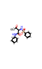 CC(C)(C)C(=O)C(NS(=O)(=O)c1ccccc1)C(=O)Nc1ccccc1